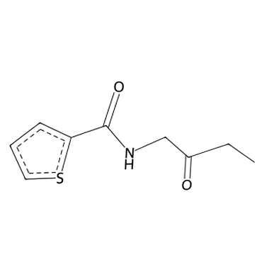 CCC(=O)CNC(=O)c1cccs1